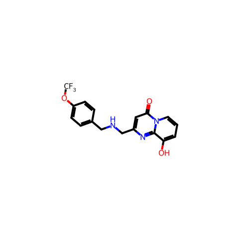 O=c1cc(CNCc2ccc(OC(F)(F)F)cc2)nc2c(O)cccn12